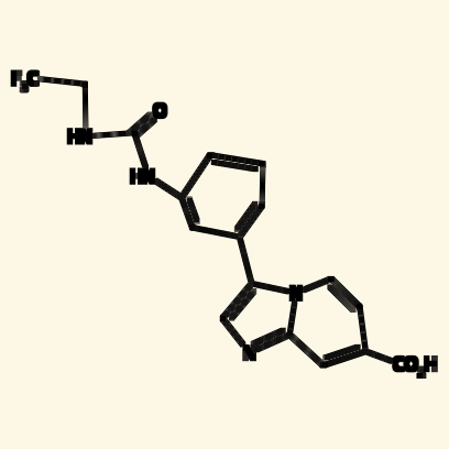 O=C(NCC(F)(F)F)Nc1cccc(-c2cnc3cc(C(=O)O)ccn23)c1